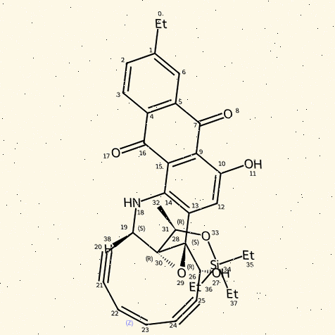 CCc1ccc2c(c1)C(=O)c1c(O)cc3c(c1C2=O)N[C@H]1C#C/C=C\C#C[C@@H](O)[C@@]32O[C@@]12[C@@H](C)O[Si](CC)(CC)CC